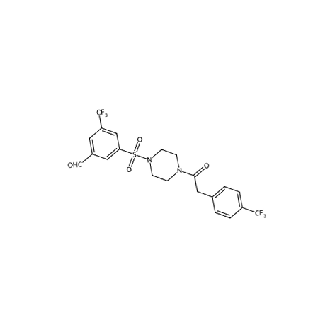 O=Cc1cc(C(F)(F)F)cc(S(=O)(=O)N2CCN(C(=O)Cc3ccc(C(F)(F)F)cc3)CC2)c1